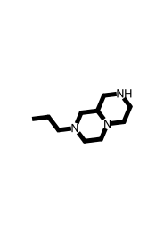 CCCN1CCN2CCNCC2C1